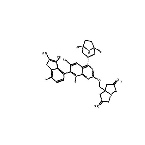 C=C1CN2CC(=C)CC2(COc2nc(N3C[C@H]4CC[C@@H](C3)N4)c3cc(Cl)c(-c4ccc(F)c5sc(N)c(C#N)c45)c(F)c3n2)C1